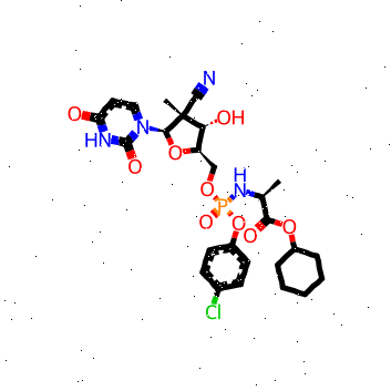 C[C@H](NP(=O)(OC[C@H]1O[C@@H](n2ccc(=O)[nH]c2=O)[C@](C)(C#N)[C@@H]1O)Oc1ccc(Cl)cc1)C(=O)OC1CCCCC1